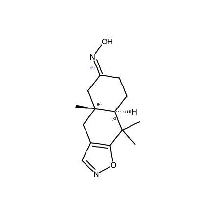 CC1(C)c2oncc2C[C@]2(C)C/C(=N/O)CC[C@@H]12